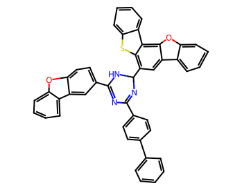 c1ccc(-c2ccc(C3=NC(c4cc5c6ccccc6oc5c5c4sc4ccccc45)NC(c4ccc5oc6ccccc6c5c4)=N3)cc2)cc1